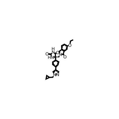 CCOc1ccc2c(c1)C(=O)N(C[C@@]1(c3ccc(-c4cnn(CC5CC5)c4)cc3)NC(=O)NC1=O)C2